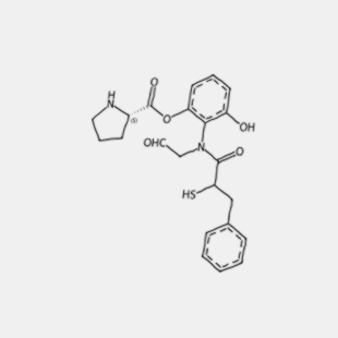 O=CCN(C(=O)C(S)Cc1ccccc1)c1c(O)cccc1OC(=O)[C@@H]1CCCN1